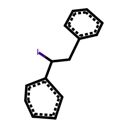 IC(Cc1ccccc1)c1ccccc1